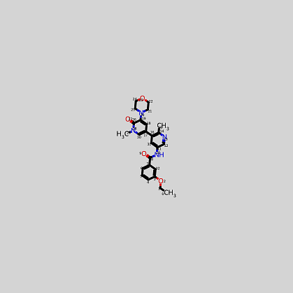 CCOc1cccc(C(=O)Nc2cnc(C)c(-c3cc(N4CCOCC4)c(=O)n(C)c3)c2)c1